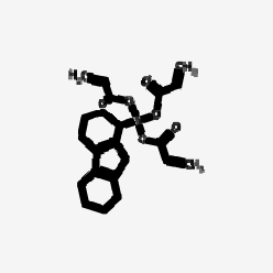 C=CC(=O)[O][Ti]([O]C(=O)C=C)([O]C(=O)C=C)[CH]1CCCC2=C1CC1=C2CCCC1